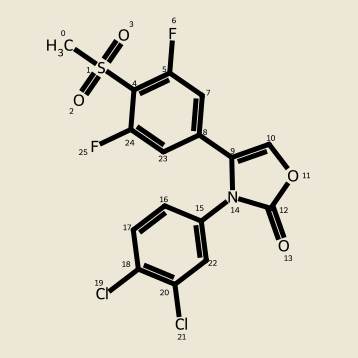 CS(=O)(=O)c1c(F)cc(-c2coc(=O)n2-c2ccc(Cl)c(Cl)c2)cc1F